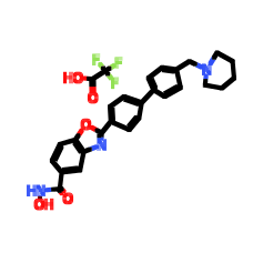 O=C(NO)c1ccc2oc(-c3ccc(-c4ccc(CN5CCCCC5)cc4)cc3)nc2c1.O=C(O)C(F)(F)F